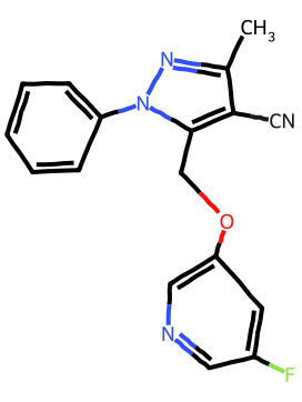 Cc1nn(-c2ccccc2)c(COc2cncc(F)c2)c1C#N